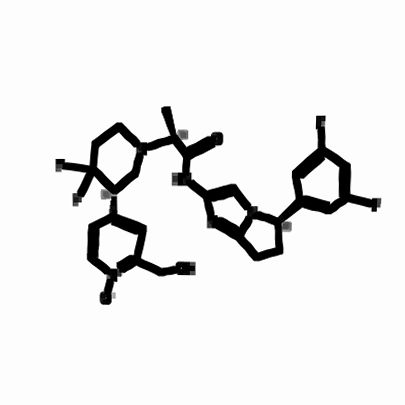 C[C@@H](C(=O)Nc1cn2c(n1)CC[C@@H]2c1cc(F)cc(F)c1)N1CCC(F)(F)[C@@H](c2cc[n+]([O-])c(CO)c2)C1